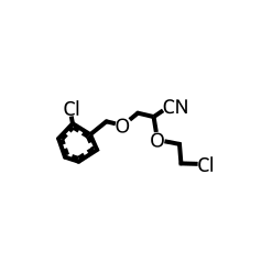 N#CC(COCc1ccccc1Cl)OCCCl